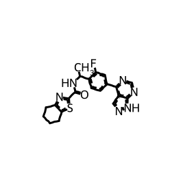 CC(NC(=O)c1nc2c(s1)CCCC2)c1ccc(-c2ncnc3[nH]ncc23)cc1F